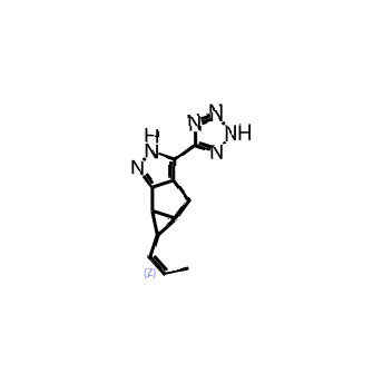 C/C=C\C1C2Cc3c(n[nH]c3-c3nn[nH]n3)C12